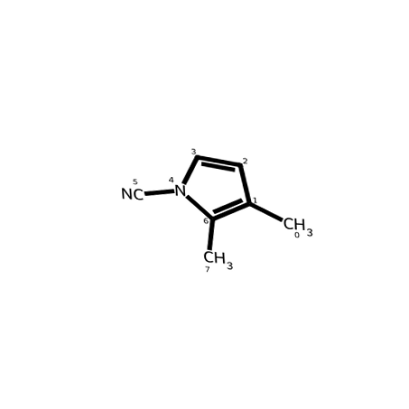 Cc1ccn(C#N)c1C